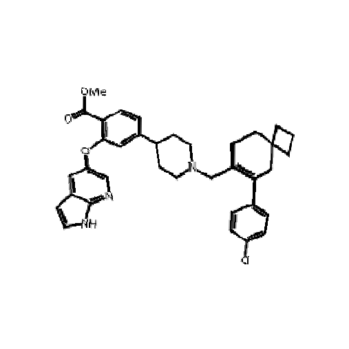 COC(=O)c1ccc(C2CCN(CC3=C(c4ccc(Cl)cc4)CC4(CCC4)CC3)CC2)cc1Oc1cnc2[nH]ccc2c1